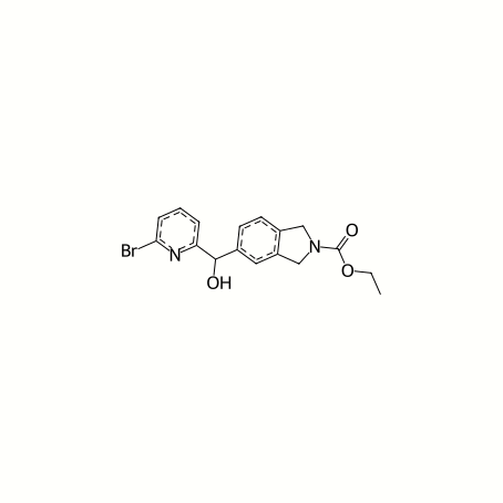 CCOC(=O)N1Cc2ccc(C(O)c3cccc(Br)n3)cc2C1